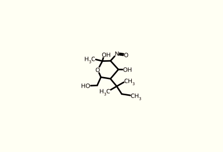 CCC(C)(C)C1C(CO)OC(C)(O)C(N=O)C1O